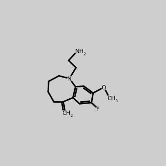 C=C1CCCCN(CCN)c2cc(OC)c(F)cc21